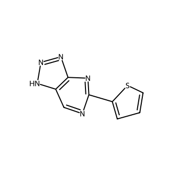 c1csc(-c2ncc3[nH]nnc3n2)c1